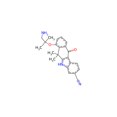 CC(C)(CN)Oc1cccc2c1C(C)(C)c1[nH]c3cc(C#N)ccc3c1C2=O